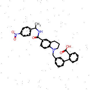 CC(NC(=O)c1ccc2c(c1)CCCN2Cc1cccc(-c2ccccc2C(=O)O)c1)c1ccc([N+](=O)[O-])cc1